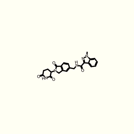 Cn1nc(C(=O)NCc2ccc3c(c2)CN(C2CCC(=O)NC2=O)C3=O)c2ccccc21